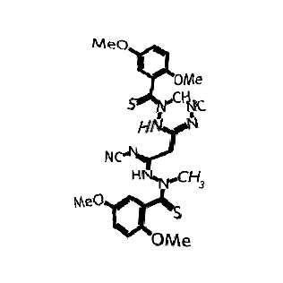 [C-]#[N+]/N=C(/C/C(=N/C#N)NN(C)C(=S)c1cc(OC)ccc1OC)NN(C)C(=S)c1cc(OC)ccc1OC